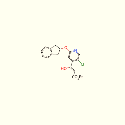 CCOC(=O)/C=C(\O)c1cc(OC2Cc3ccccc3C2)ncc1Cl